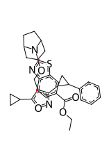 CCOC(=O)c1ccc2nc(N3C4CCC3CC(OCc3c(C5CC5c5ccccc5)noc3C3CC3)C4)sc2c1